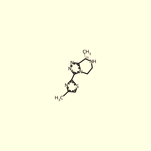 Cc1csc(-c2nnc3n2CCN[C@H]3C)n1